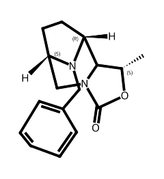 C[C@@H]1OC(=O)N2C[C@@H]3CC[C@H](C12)N3Cc1ccccc1